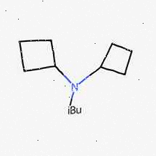 [CH2]C(CC)N(C1CCC1)C1CCC1